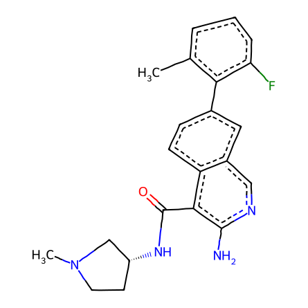 Cc1cccc(F)c1-c1ccc2c(C(=O)N[C@@H]3CCN(C)C3)c(N)ncc2c1